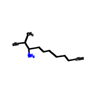 CCCCCCCCCCCCCCCC(N)C(C)CCCC